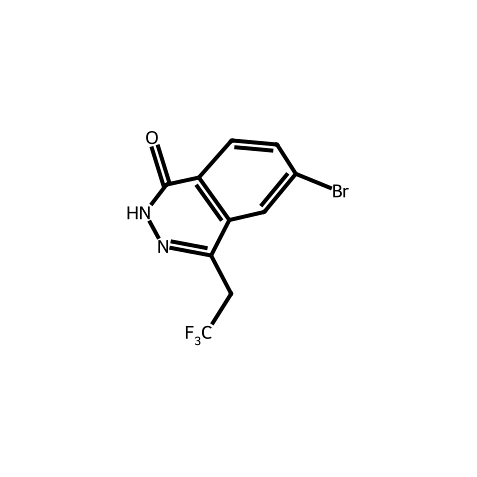 O=c1[nH]nc(CC(F)(F)F)c2cc(Br)ccc12